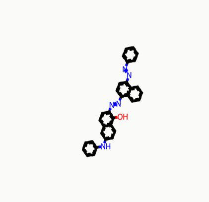 Oc1c(N=Nc2ccc(N=Nc3ccccc3)c3ccccc23)ccc2cc(Nc3ccccc3)ccc12